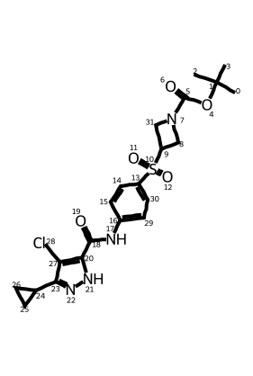 CC(C)(C)OC(=O)N1CC(S(=O)(=O)c2ccc(NC(=O)c3[nH]nc(C4CC4)c3Cl)cc2)C1